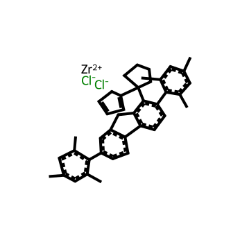 Cc1cc(C)c(-c2ccc3c(c2)Cc2c-3ccc(-c3c(C)cc(C)cc3C)c2C2(C3=CC=CC3)CCCC2)c(C)c1.[Cl-].[Cl-].[Zr+2]